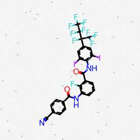 N#Cc1ccc(C(=O)Nc2cccc(C(=O)Nc3c(I)cc(C(F)(C(F)(F)F)C(F)(F)C(F)(F)F)cc3I)c2F)cc1